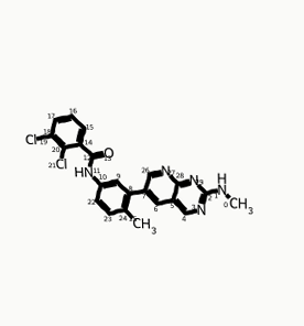 CNc1ncc2cc(-c3cc(NC(=O)c4cccc(Cl)c4Cl)ccc3C)cnc2n1